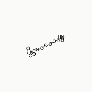 CCNC(=O)CNCCOCCOCCOCCOCCNCCC(=O)N1Cc2ccccc2C#Cc2ccccc21